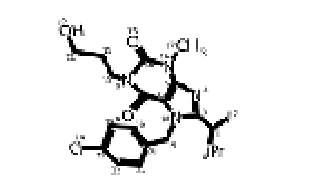 CC(C)C(I)c1nc2c(c(=O)n(CCCO)c(=O)n2C)n1Cc1ccc(Cl)cc1